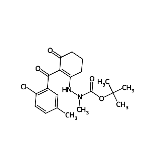 Cc1ccc(Cl)c(C(=O)C2=C(NN(C)C(=O)OC(C)(C)C)CCCC2=O)c1